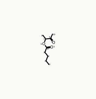 CCCCC(=O)OC(C)C(C)=O